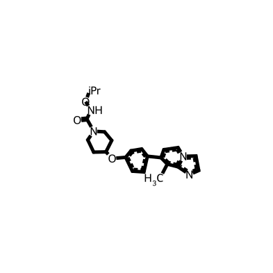 Cc1c(-c2ccc(OC3CCN(C(=O)NOC(C)C)CC3)cc2)ccn2ccnc12